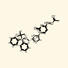 CC(=O)ONc1ccn([C@H]2CS[C@H](CO[Si](c3ccccc3)(c3ccccc3)C(C)(C)C)S2)c(=O)n1